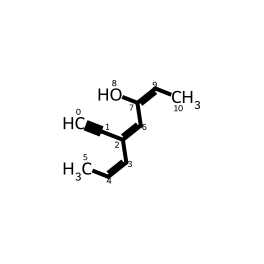 C#CC(/C=C\C)=C\C(O)=C/C